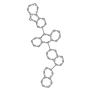 c1ccc2cc(-c3cccc4cc(-c5c6ccccc6c(-c6ccc7c(c6)oc6ccccc67)c6ccccc56)ccc34)ccc2c1